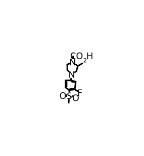 CC1CN(c2ccc(S(C)(=O)=O)c(F)c2)CCN1C(=O)O